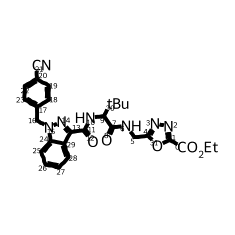 CCOC(=O)c1nnc(CNC(=O)C(NC(=O)c2nn(Cc3ccc(C#N)cc3)c3ccccc23)C(C)(C)C)o1